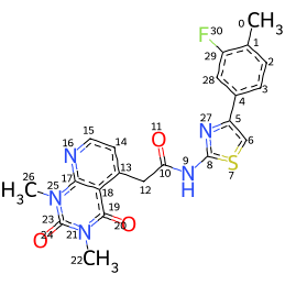 Cc1ccc(-c2csc(NC(=O)Cc3ccnc4c3c(=O)n(C)c(=O)n4C)n2)cc1F